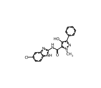 Cn1nc(-c2ccccc2)c(O)c1C(=O)Nc1nc2cc(Cl)ccc2[nH]1